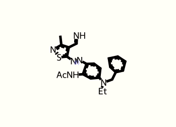 CCN(Cc1ccccc1)c1ccc(/N=N/c2snc(C)c2C=N)c(NC(C)=O)c1